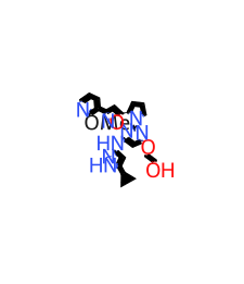 COc1ncccc1-c1cc([C@@H]2CCCN2c2nc(Nc3cc(C4CC4)[nH]n3)cc(OCCO)n2)on1